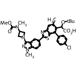 COC(=O)N(C)C1CN(c2nn(C)c3ccc(-c4nc5cc(C)c(C(OC(C)(C)C)C(=O)O)c(-c6ccc(Cl)cc6)c5s4)cc23)C1